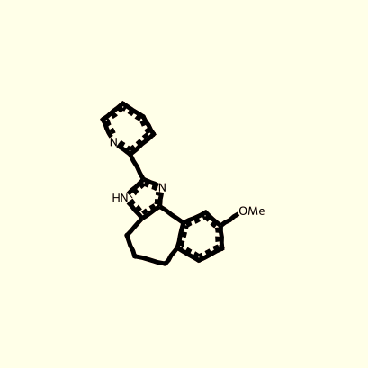 COc1ccc2c(c1)-c1nc(-c3ccccn3)[nH]c1CCC2